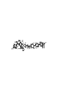 CCN(C(=O)[C@@H]1CCN(CC(=O)N2CCC(c3ccc(C(=N)/N=C\NC)cc3)CC2)C1)c1ccc(N)c(C(=N)c2ccc(I)nc2)n1